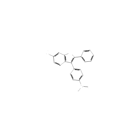 CN(C)c1ccc(-c2c(-c3ccccc3)oc3cc(O)ccc23)cc1